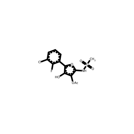 CC(=O)Oc1c(NS(C)(=O)=O)oc(-c2cccc(Cl)c2F)c1O